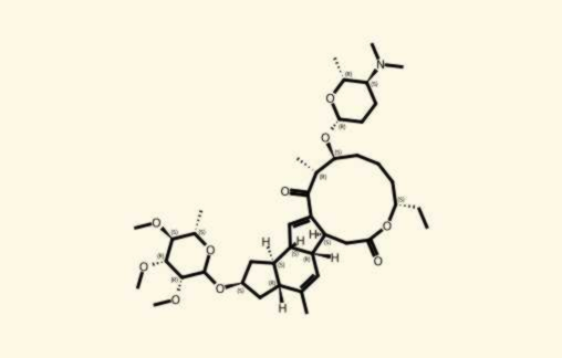 CC[C@H]1CCC[C@H](O[C@H]2CC[C@H](N(C)C)[C@@H](C)O2)[C@@H](C)C(=O)C2=C[C@@H]3[C@@H](C=C(C)[C@@H]4C[C@@H](OC5O[C@@H](C)[C@H](OC)[C@@H](OC)[C@H]5OC)C[C@@H]34)[C@@H]2CC(=O)O1